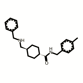 Cc1ccc(CNC(=O)[C@H]2CC[C@H](CNCc3ccccc3)CC2)cc1